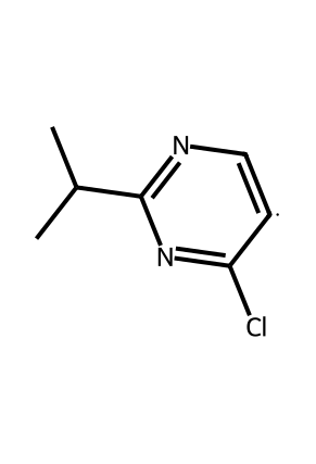 CC(C)c1nc[c]c(Cl)n1